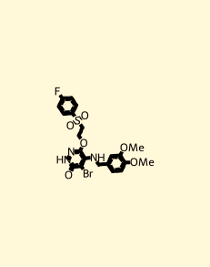 COc1ccc(CNc2c(OCCS(=O)(=O)c3ccc(F)cc3)n[nH]c(=O)c2Br)cc1OC